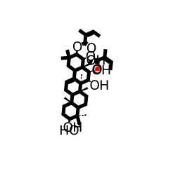 C/C=C(/C)C(=O)O[C@H]1[C@H](OC(=O)/C(C)=C\C)[C@@]2(CO)C(CC1(C)C)C1=CCC3[C@@]4(C)CC[C@H](O)[C@](C)(CO)C4CC[C@@]3(C)[C@]1(C)[C@@H](O)[C@H]2O